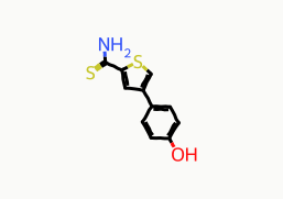 NC(=S)c1cc(-c2ccc(O)cc2)cs1